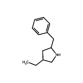 CCC1CNC(Cc2ccccc2)C1